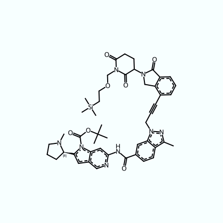 Cc1nn(CC#Cc2cccc3c2CN(C2CCC(=O)N(COCC[Si](C)(C)C)C2=O)C3=O)c2cc(C(=O)Nc3cc4c(cn3)cc([C@H]3CCCN3C)n4C(=O)OC(C)(C)C)ccc12